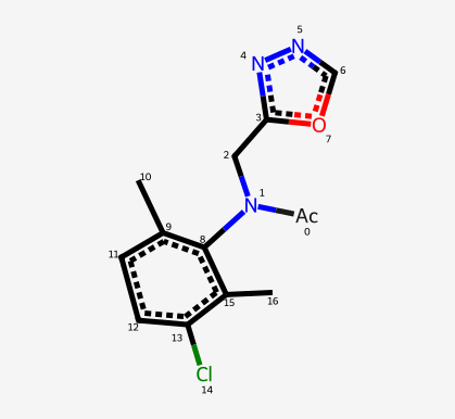 CC(=O)N(Cc1nnco1)c1c(C)ccc(Cl)c1C